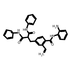 C=Cc1cc(CC(C(=O)Nc2ccccc2)C(=O)Nc2ccccc2)ccc1C(=O)Nc1ccccc1N